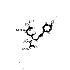 CNC(=O)[C@@H](N(CC#Cc1ccc(Cl)cc1)C(=O)C[C@H](OC)C(=O)NO)C(C)(C)C